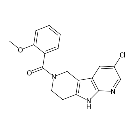 COc1ccccc1C(=O)N1CCc2[nH]c3ncc(Cl)cc3c2C1